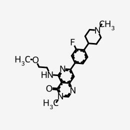 COCCNc1nc(-c2ccc(C3CCN(C)CC3)c(F)c2)cc2ncn(C)c(=O)c12